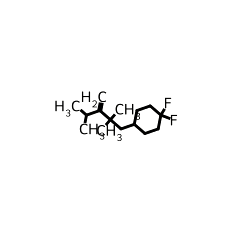 C=C(C(C)C)C(C)(C)CC1CCC(F)(F)CC1